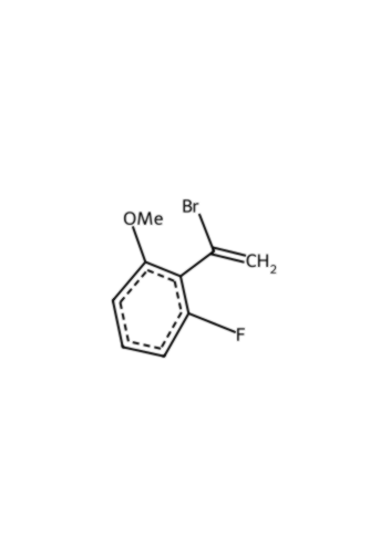 C=C(Br)c1c(F)cccc1OC